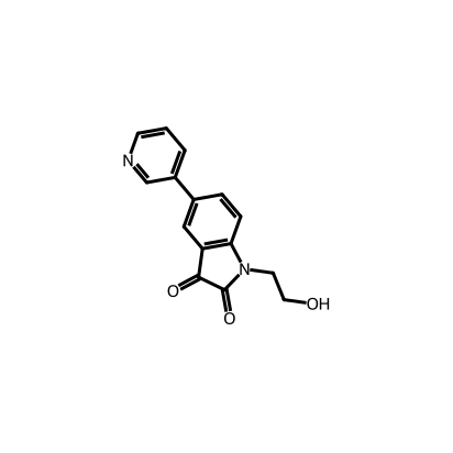 O=C1C(=O)N(CCO)c2ccc(-c3cccnc3)cc21